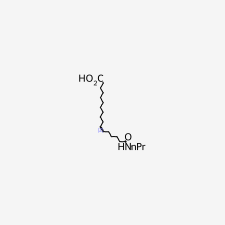 CCCNC(=O)CCCC/C=C\CCCCCCCCCC(=O)O